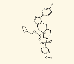 COc1ccc(S(=O)(=O)N2CCC3=Cc4c(cnn4-c4ccc(F)cc4)C[C@]3(C(=O)OCC3CCC3)C2)cn1